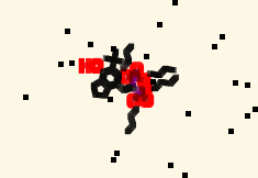 CCCCOP(=O)(OCCCC)C(=Cc1cc(C(C)(C)C)c(O)c2c1CCC2)P(=O)(OCCCC)OCCCC